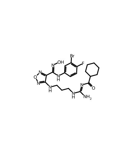 N/C(=N\C(=O)C1CCCCC1)NCCCNc1nonc1/C(=N/O)Nc1ccc(F)c(Br)c1